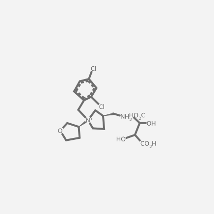 NC[C@H]1CC[N+](Cc2ccc(Cl)cc2Cl)([C@H]2CCOC2)C1.O=C(O)C(O)C(O)C(=O)O